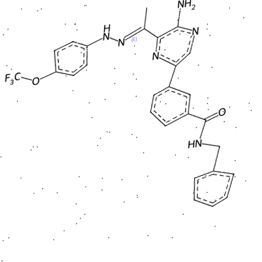 C/C(=N\Nc1ccc(OC(F)(F)F)cc1)c1nc(-c2cccc(C(=O)NCc3ccccc3)c2)cnc1N